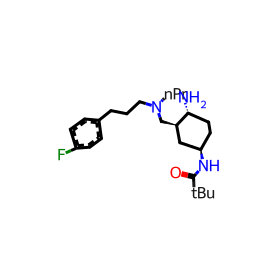 CCCN(CCCc1ccc(F)cc1)C[C@@H]1C[C@H](NC(=O)C(C)(C)C)CC[C@H]1N